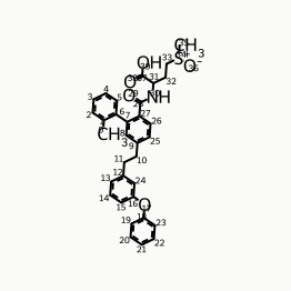 Cc1ccccc1-c1cc(CCc2cccc(Oc3ccccc3)c2)ccc1C(=O)NC(CC[S+](C)[O-])C(=O)O